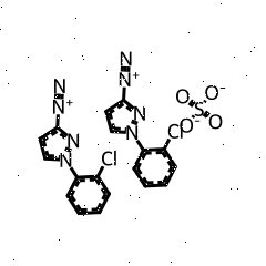 N#[N+]c1ccn(-c2ccccc2Cl)n1.N#[N+]c1ccn(-c2ccccc2Cl)n1.O=S(=O)([O-])[O-]